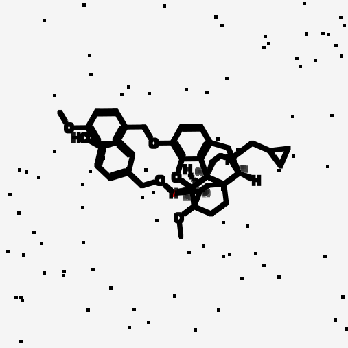 COc1ccc(COc2ccc3c4c2O[C@H]2C5(OC)CCC6(C[C@@H]5COCc5ccc(O)cc5)[C@@H](C3)N(CC3CC3)CC[C@]426)cc1